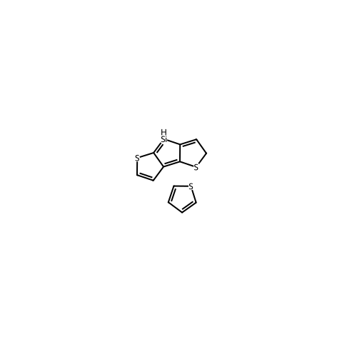 C1=C2[SiH]=c3sccc3=C2SC1.c1ccsc1